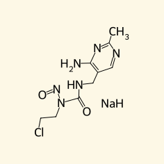 Cc1ncc(CNC(=O)N(CCCl)N=O)c(N)n1.[NaH]